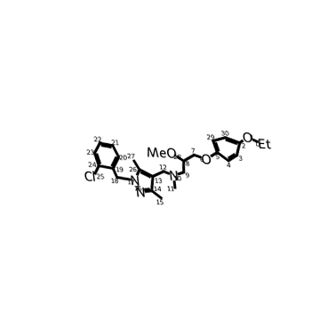 CCOc1ccc(OCC(CN(C)Cc2c(C)nn(Cc3ccccc3Cl)c2C)OC)cc1